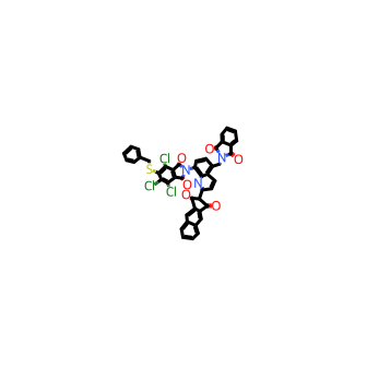 O=C1c2cc3ccccc3cc2C(=O)C1c1ccc2c(CN3C(=O)c4ccccc4C3=O)ccc(N3C(=O)c4c(Cl)c(Cl)c(SCc5ccccc5)c(Cl)c4C3=O)c2n1